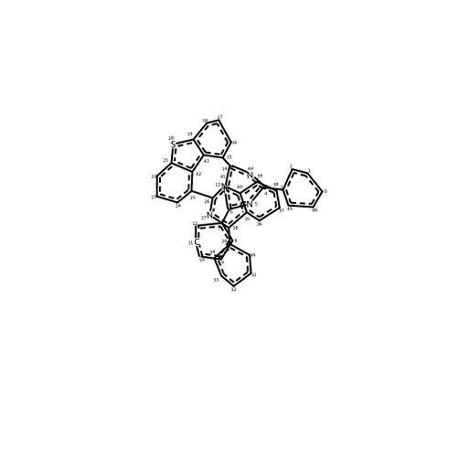 c1ccc(-c2nc(-c3ccccc3)nc(-c3cccc4sc5cccc(-c6nc(-c7ccccc7)c7ccccc7n6)c5c34)n2)cc1